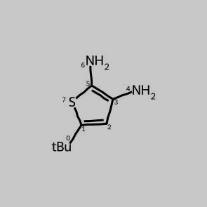 CC(C)(C)c1cc(N)c(N)s1